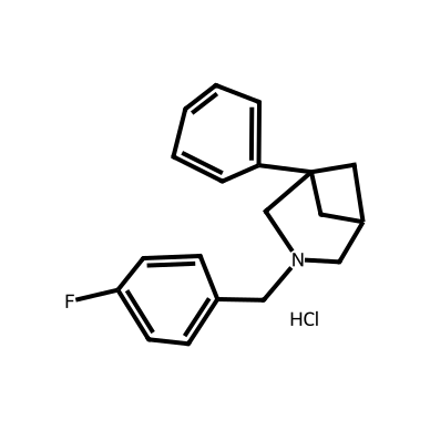 Cl.Fc1ccc(CN2CC3CC(c4ccccc4)(C3)C2)cc1